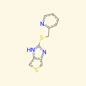 c1ccc(CSc2nc3cscc3[nH]2)nc1